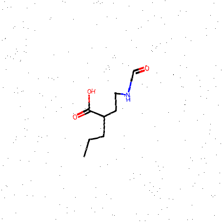 CCCC(CCNC=O)C(=O)O